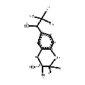 CC1(C)Oc2ccc(C(O)C(F)(F)F)cc2C[C@]1(O)Br